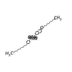 CCCCCCCCCCOc1ccc2cc(C(=O)NNC(=O)c3ccc(CCCCCCCCCC)cc3)ccc2c1